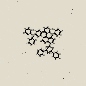 c1ccc(-c2nc(-c3ccccc3)nc(-c3ccc4c5c(cccc35)-c3c(-c5ccc(N(c6ccccc6)c6ccccc6)cc5)cccc3N4c3ccccc3)n2)cc1